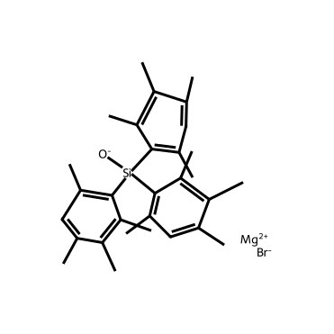 Cc1cc(C)c([Si]([O-])(c2c(C)cc(C)c(C)c2C)c2c(C)cc(C)c(C)c2C)c(C)c1C.[Br-].[Mg+2]